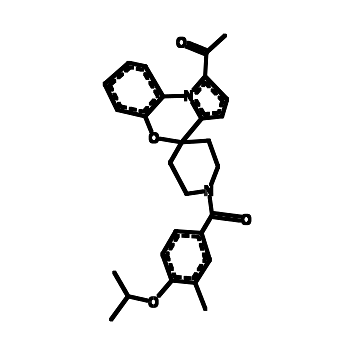 CC(=O)c1ccc2n1-c1ccccc1OC21CCN(C(=O)c2ccc(OC(C)C)c(C)c2)CC1